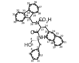 O=C(N[C@@H](CO)Cc1ccccc1)[C@H](Cc1ccc2ccccc2c1)N(CC1c2ccccc2-c2ccccc21)C(=O)O